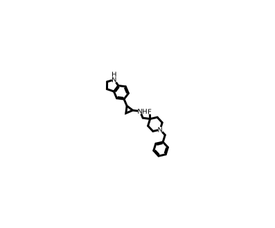 FC1(CNC2CC2c2ccc3c(c2)CCN3)CCN(Cc2ccccc2)CC1